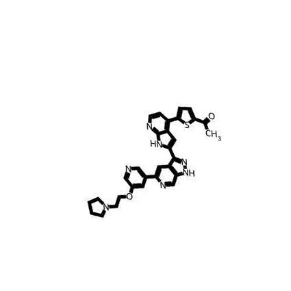 CC(=O)c1ccc(-c2ccnc3[nH]c(-c4n[nH]c5cnc(-c6cncc(OCCN7CCCC7)c6)cc45)cc23)s1